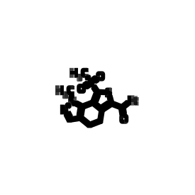 CCC(=O)c1sc(S(C)(=O)=O)c2c1CCc1cnn(C)c1-2